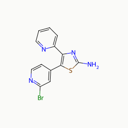 Nc1nc(-c2ccccn2)c(-c2ccnc(Br)c2)s1